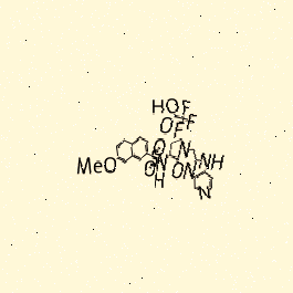 COc1ccc2ccc(S(=O)(=O)N[C@H]3CCN(Cc4nc5cnccc5[nH]4)C3=O)cc2c1.O=C(O)C(F)(F)F